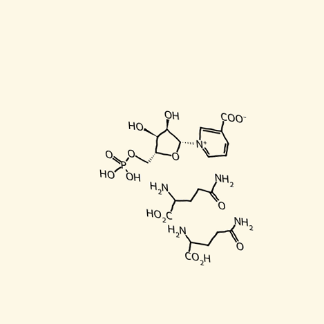 NC(=O)CCC(N)C(=O)O.NC(=O)CCC(N)C(=O)O.O=C([O-])c1ccc[n+]([C@@H]2O[C@H](COP(=O)(O)O)[C@@H](O)[C@H]2O)c1